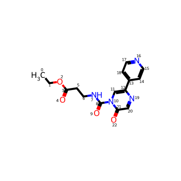 CCOC(=O)CCNC(=O)n1cc(-c2ccncc2)ncc1=O